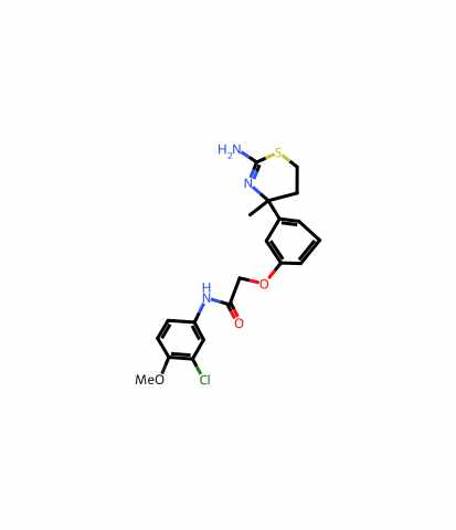 COc1ccc(NC(=O)COc2cccc(C3(C)CCSC(N)=N3)c2)cc1Cl